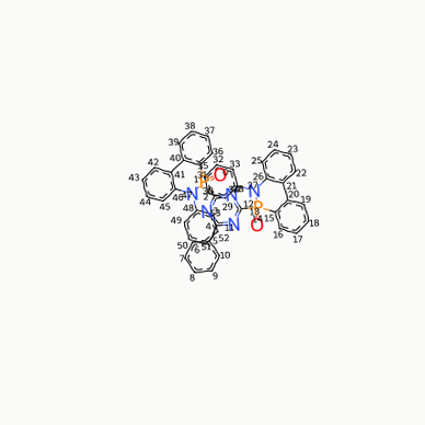 O=P1(c2nc(-c3ccccc3)nc(P3(=O)c4ccccc4-c4ccccc4N3c3ccccc3)n2)c2ccccc2-c2ccccc2N1c1ccccc1